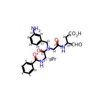 CC(C)[C@H](NC(=O)c1ccccc1)C(=O)N(CC(=O)NC(C=O)CC(=O)O)Cc1cccc(N)c1